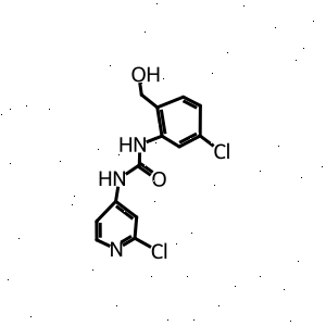 O=C(Nc1ccnc(Cl)c1)Nc1cc(Cl)ccc1CO